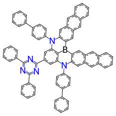 c1ccc(-c2ccc(N3c4cc5cc6ccccc6cc5cc4B4c5cc6cc7ccccc7cc6cc5N(c5ccc(-c6ccccc6)cc5)c5cc(-c6nc(-c7ccccc7)nc(-c7ccccc7)n6)cc3c54)cc2)cc1